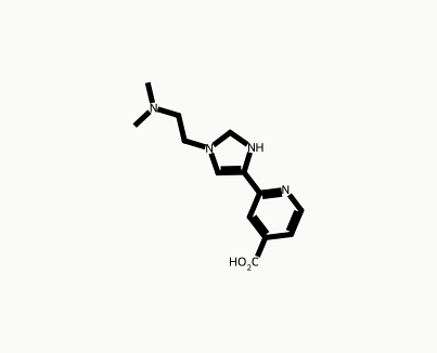 CN(C)CCN1C=C(c2cc(C(=O)O)ccn2)NC1